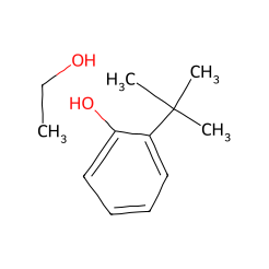 CC(C)(C)c1ccccc1O.CCO